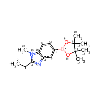 [CH2][CH]c1nc2cc(B3OC(C)(C)C(C)(C)O3)ccc2n1C